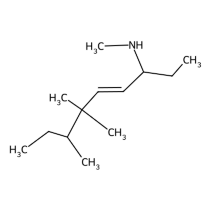 CCC(C=CC(C)(C)C(C)CC)NC